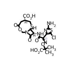 CC(C)(O/N=C(\C(=O)N[C@@H]1C(=O)N2COC(=O)C[C@H](C(=O)O)CS[C@H]12)c1nc(N)sc1Cl)C(=O)O